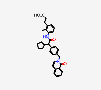 Cc1c(CCC(=O)O)cccc1NC(=O)C(c1ccc(Cn2ccc3ccccc3c2=O)cc1)C1CCCC1